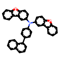 c1ccc2c(-c3ccc(N(c4ccc5oc6ccccc6c5c4)c4ccc5oc6ccccc6c5c4)cc3)cccc2c1